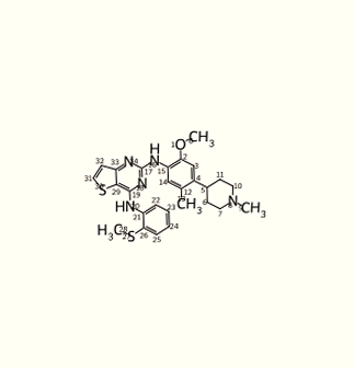 COc1cc(C2CCN(C)CC2)c(C)cc1Nc1nc(Nc2ccccc2SC)c2sccc2n1